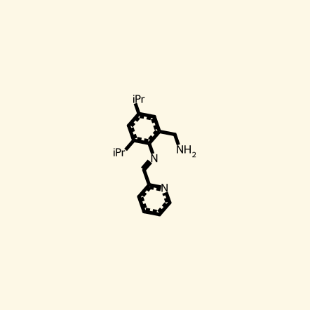 CC(C)c1cc(CN)c(N=Cc2ccccn2)c(C(C)C)c1